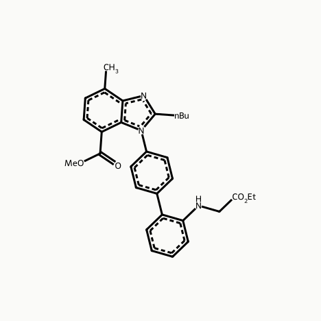 CCCCc1nc2c(C)ccc(C(=O)OC)c2n1-c1ccc(-c2ccccc2NCC(=O)OCC)cc1